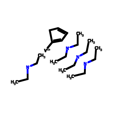 CC[N-]CC.CC[N-]CC.CC[N-]CC.CC[N-]CC.[V+4][C]1=CC=CC1